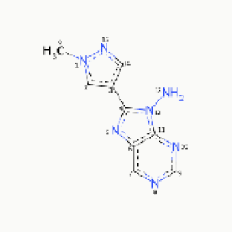 Cn1cc(-c2nc3cncnc3n2N)cn1